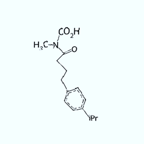 CC(C)c1ccc(CCCC(=O)N(C)C(=O)O)cc1